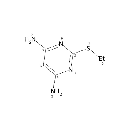 CCSc1nc(N)cc(N)n1